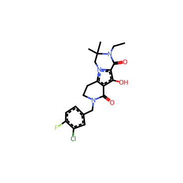 CCN1C(=O)c2c(O)c3c(n2CC1(C)C)CCN(Cc1ccc(F)c(Cl)c1)C3=O